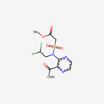 COC(=O)c1nccnc1N(CC(F)F)S(=O)(=O)CC(=O)OC(C)(C)C